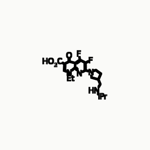 CCn1cc(C(=O)O)c(=O)c2c(F)c(F)c(N3CCC(CNC(C)C)C3)nc21